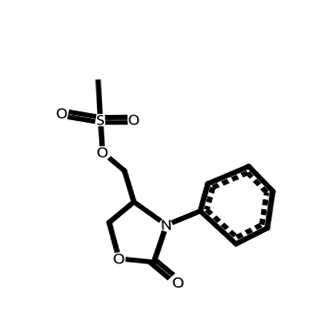 CS(=O)(=O)OCC1COC(=O)N1c1ccccc1